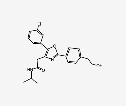 CC(C)NC(=O)Cc1nc(-c2ccc(CCO)cc2)oc1-c1cccc(Cl)c1